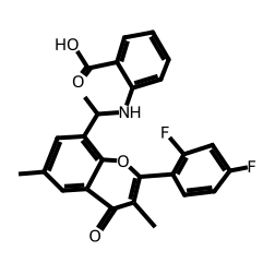 Cc1cc(C(C)Nc2ccccc2C(=O)O)c2oc(-c3ccc(F)cc3F)c(C)c(=O)c2c1